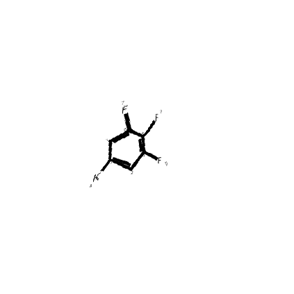 Fc1c[c]([K])cc(F)c1F